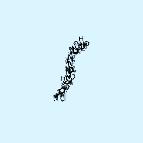 CC1(C)C(NC(=O)c2ccc(N3CCN(Cc4ccc(N5CCC(=O)NC5=O)nn4)CC3)nn2)C(C)(C)C1Oc1ccc(C#N)c(Cl)c1